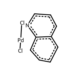 [Cl][Pd][Cl].c1ccc2ncccc2c1